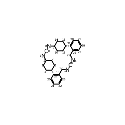 C(=NC1CCCCC1)=NC1CCCCC1.C(=NCc1ccccc1)=NCc1ccccc1